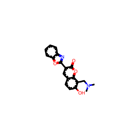 CN(C)Cc1c(O)ccc2cc(-c3nc4ccccc4o3)c(=O)oc12